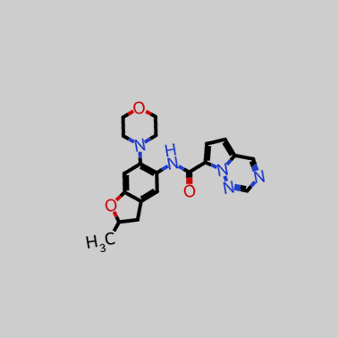 CC1Cc2cc(NC(=O)c3ccc4cncnn34)c(N3CCOCC3)cc2O1